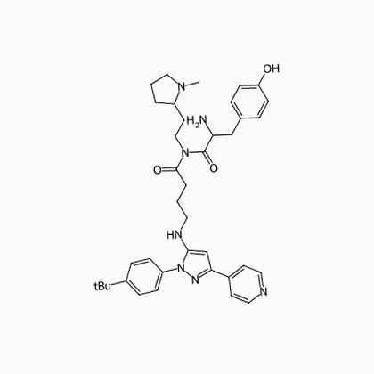 CN1CCCC1CCN(C(=O)CCCNc1cc(-c2ccncc2)nn1-c1ccc(C(C)(C)C)cc1)C(=O)C(N)Cc1ccc(O)cc1